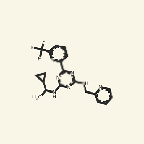 CC(Nc1nc(NCc2ccccn2)nc(-c2cccc(C(F)(F)F)n2)n1)C1CC1